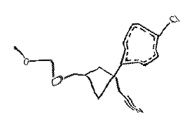 COCOC1CC(C#N)(c2ccc(Cl)cc2)C1